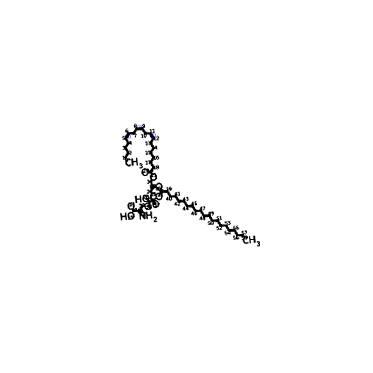 CCCCC/C=C\C/C=C\C/C=C\CCCCCCC(=O)OC[C@H](COP(=O)(O)OC[C@H](N)C(=O)O)OC(=O)CCCCCCCCCCCCCCCCCCCC